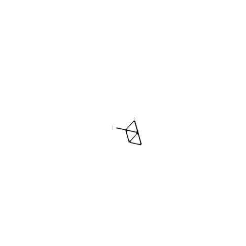 FC12C3C4C1C432